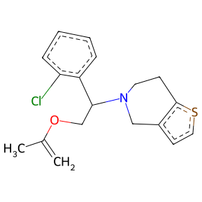 C=C(C)OCC(c1ccccc1Cl)N1CCc2sccc2C1